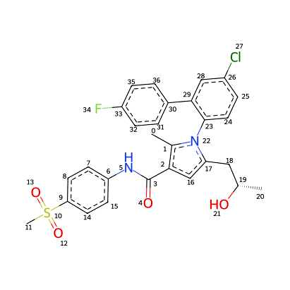 Cc1c(C(=O)Nc2ccc(S(C)(=O)=O)cc2)cc(C[C@H](C)O)n1-c1ccc(Cl)cc1-c1ccc(F)cc1